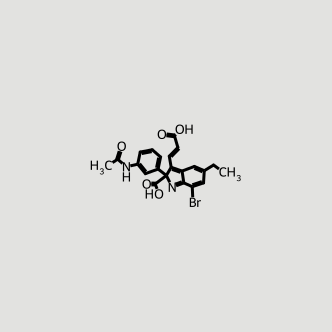 CCc1cc(Br)c2c(c1)=C(C=CC(=O)O)C(C(=O)O)(c1cccc(NC(C)=O)c1)N=2